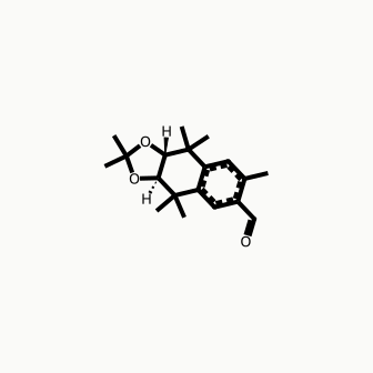 Cc1cc2c(cc1C=O)C(C)(C)[C@H]1OC(C)(C)O[C@@H]1C2(C)C